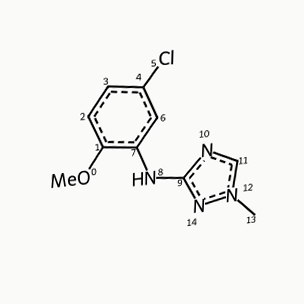 COc1ccc(Cl)cc1Nc1ncn(C)n1